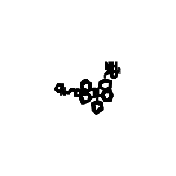 NC(=O)C[C@@H]1CCC[C@H](N(c2cccc(OCCN3CCCC3)c2)C(c2ccccc2)(c2ccccc2)c2ccccc2)C1